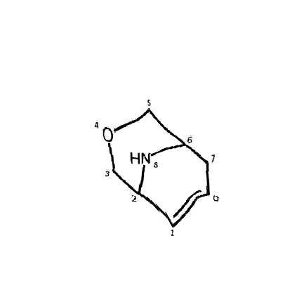 C1=CC2COCC(C1)N2